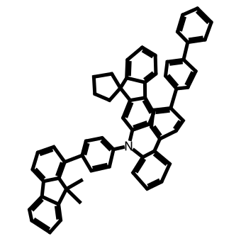 CC1(C)c2ccccc2-c2cccc(-c3ccc(N(c4ccc5c(c4)C4(CCCC4)c4ccccc4-5)c4ccccc4-c4ccc(-c5ccc(-c6ccccc6)cc5)cc4)cc3)c21